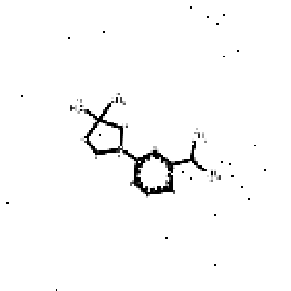 CC(C)c1cccc(N2CCC(C)(C)C2)c1